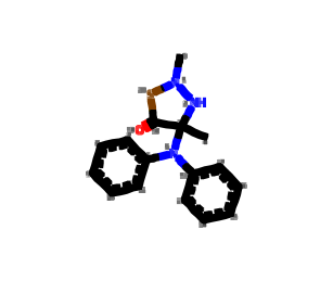 CN1NC(C)(N(c2ccccc2)c2ccccc2)C(=O)S1